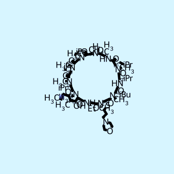 C/C=C/C[C@@H](C)[C@@H](O)[C@H]1C(=O)N[C@@H](CC)C(=O)N(C)[C@H](SCCCN2CCOCC2)C(=O)N(C)[C@@H](C(C)CC)C(=O)N[C@@H](C(C)C)C(=O)N(C)[C@@H](CC(C)C)C(=O)N[C@@H](C)C(=O)N[C@H](C)C(=O)N(C)[C@@H](CC(C)C)C(=O)N(C)[C@@H](CC(C)C)C(=O)N(C)[C@@H](C(C)C)C(=O)N1C